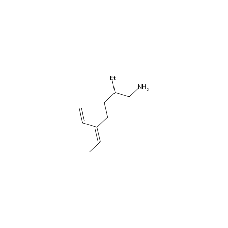 C=C/C(=C\C)CCC(CC)CN